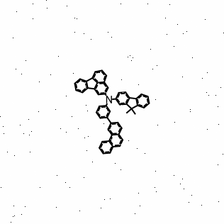 CC1(C)c2ccccc2-c2ccc(N(c3cccc(-c4ccc5ccc6ccccc6c5c4)c3)c3cc4c5c(cccc5c3)-c3ccccc3-4)cc21